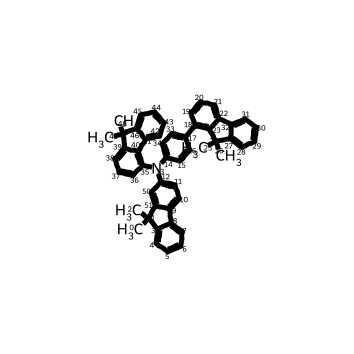 CC1(C)c2ccccc2-c2ccc(N(c3ccc(-c4cccc5c4C(C)(C)c4ccccc4-5)cc3)c3cccc4c3-c3ccccc3C4(C)C)cc21